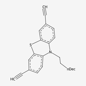 C#Cc1ccc2c(c1)Sc1cc(C#C)ccc1N2CCCCCCCCCCCC